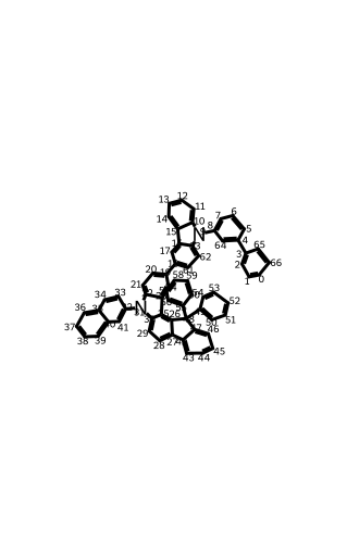 c1ccc(-c2cccc(-n3c4ccccc4c4cc(-c5ccc6c(c5)c5c7c(ccc5n6-c5ccc6ccccc6c5)-c5ccccc5C7(c5ccccc5)c5ccccc5)ccc43)c2)cc1